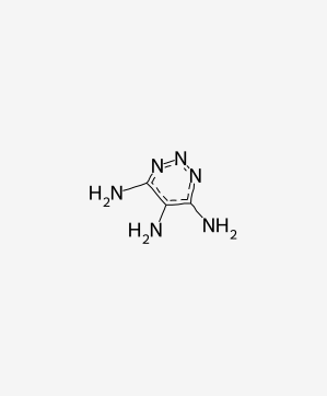 Nc1nnnc(N)c1N